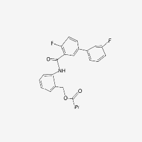 CC(C)C(=O)OCc1ccccc1NC(=O)c1cc(-c2cccc(F)c2)ccc1F